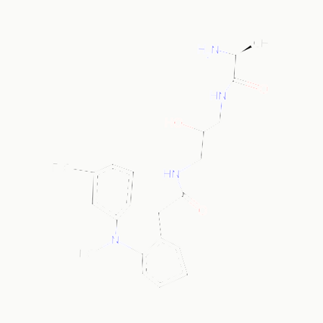 C[C@H](N)C(=O)NCC(O)CNC(=O)Cc1ccccc1N(C)c1cccc(C(F)(F)F)c1